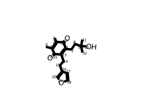 CC1=C(C)C(=O)C(CCC(C)(C)O)=C(CCc2ccoc2)C1=O